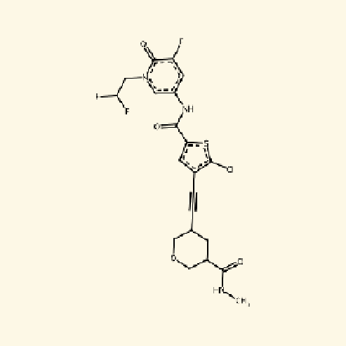 CNC(=O)C1COCC(C#Cc2cc(C(=O)Nc3cc(F)c(=O)n(CC(F)F)c3)sc2Cl)C1